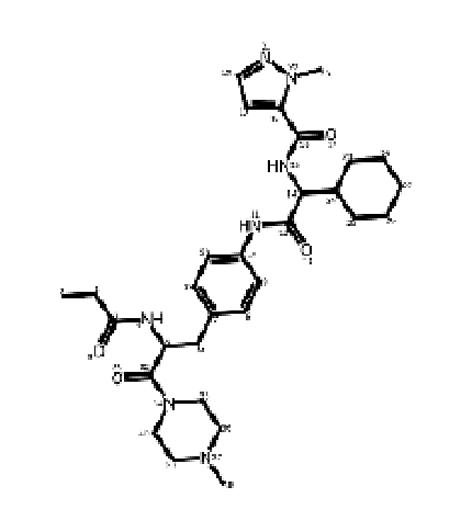 CCC(=O)NC(Cc1ccc(NC(=O)C(NC(=O)c2ccnn2C)C2CCCCC2)cc1)C(=O)N1CCN(C)CC1